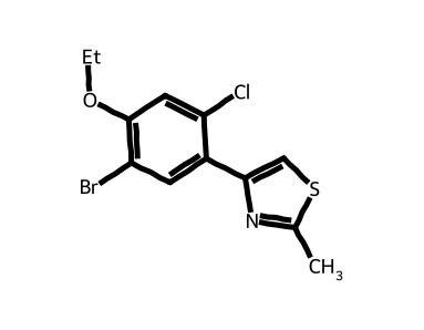 CCOc1cc(Cl)c(-c2csc(C)n2)cc1Br